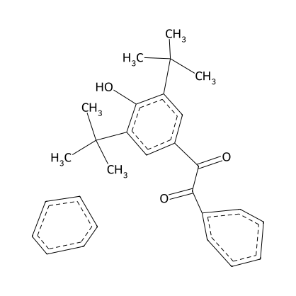 CC(C)(C)c1cc(C(=O)C(=O)c2ccccc2)cc(C(C)(C)C)c1O.c1ccccc1